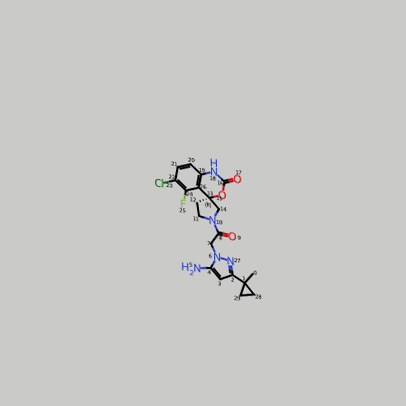 CC1(c2cc(N)n(CC(=O)N3CC[C@@]4(C3)OC(=O)Nc3ccc(Cl)c(F)c34)n2)CC1